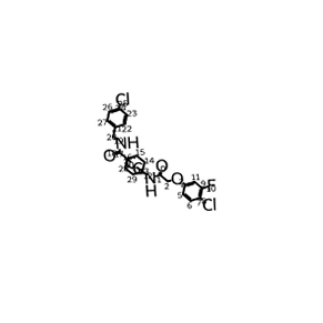 O=C(COc1ccc(Cl)c(F)c1)NC12CCC(C(=O)NCc3ccc(Cl)cc3)(CC1)CC2